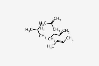 C=C(C)C.C=CCC.CC(C)C.CC=CC